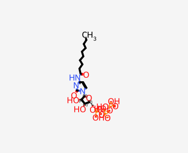 CCCCCCCCCC(=O)Nc1ccn([C@@H]2O[C@H](COP(=O)(O)OP(=O)(O)OP(=O)(O)O)[C@@H](O)[C@H]2O)c(=O)n1